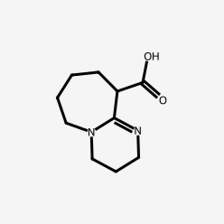 O=C(O)C1CCCCN2CCCN=C12